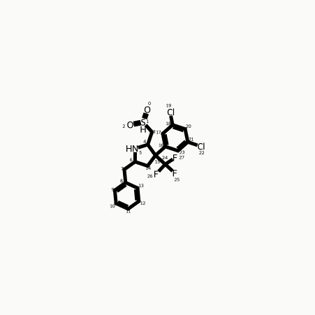 O=[SH](=O)CC1NC(Cc2ccccc2)CC1(c1cc(Cl)cc(Cl)c1)C(F)(F)F